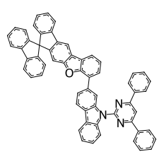 c1ccc(-c2cc(-c3ccccc3)nc(-n3c4ccccc4c4ccc(-c5cccc6c5oc5cc7c(cc56)-c5ccccc5C75c6ccccc6-c6ccccc65)cc43)n2)cc1